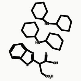 C1CCC(NC2CCCCC2)CC1.C1CCC(NC2CCCCC2)CC1.O=C(O)CC(C(O)=S)c1nc2ccccc2s1